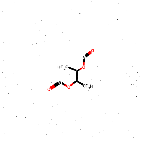 [O]=[V][O]C(C(=O)O)C([O][V]=[O])C(=O)O